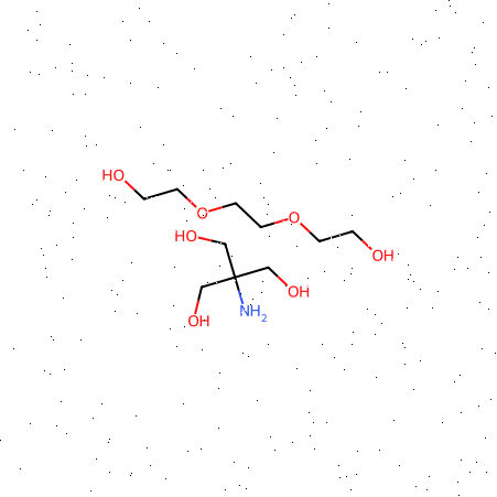 NC(CO)(CO)CO.OCCOCCOCCO